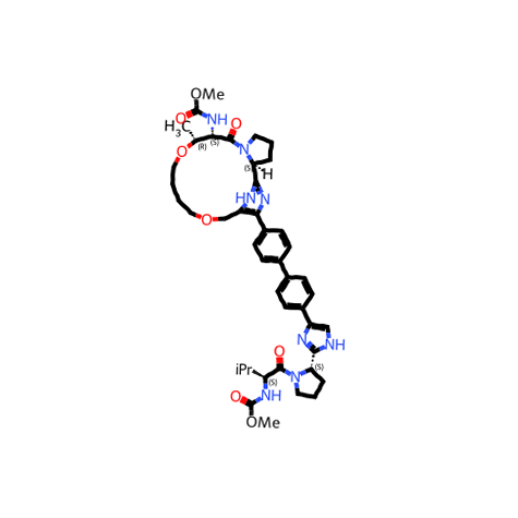 COC(=O)N[C@H](C(=O)N1CCC[C@H]1c1nc(-c2ccc(-c3ccc(-c4nc5[nH]c4COCCCCO[C@H](C)[C@H](NC(=O)OC)C(=O)N4CCC[C@@H]54)cc3)cc2)c[nH]1)C(C)C